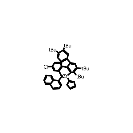 CC(C)(C)c1cc2c(cc1C(C)(C)C)-c1cc(C(C)(C)C)c(C(C)(C)C)[c](/[Zr]([C]3=CC=CC3)=[C](\c3cccc(Cl)c3)c3cccc4ccccc34)c1C2